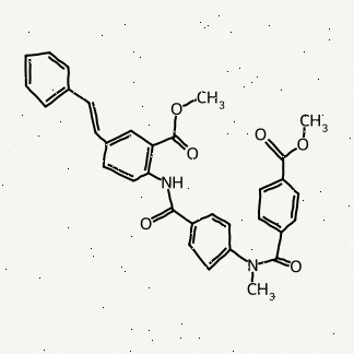 COC(=O)c1ccc(C(=O)N(C)c2ccc(C(=O)Nc3ccc(/C=C/c4ccccc4)cc3C(=O)OC)cc2)cc1